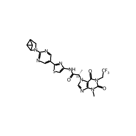 C[C@@H](C(=O)Nc1csc(-c2cnc(N3CC4C5C4C53)nc2)n1)n1cnc2c1c(=O)n(CC(F)(F)F)c(=O)n2C